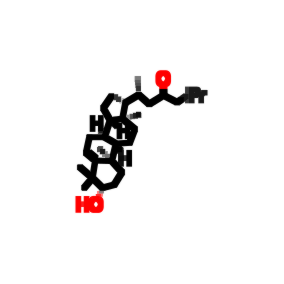 CC(C)CC(=O)C[C@@H](C)[C@H]1CC[C@H]2[C@@H]3CC=C4C(C)(C)[C@@H](O)CC[C@]4(C)[C@H]3CC[C@]12C